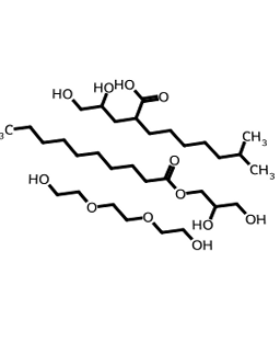 CC(C)CCCCCC(CC(O)CO)C(=O)O.CCCCCCCCCC(=O)OCC(O)CO.OCCOCCOCCO